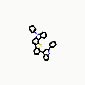 c1ccc(-c2cc(-c3cccc4c3sc3c4ccc4c3c3ccccc3n4-c3ccccc3)c3ccccc3n2)cc1